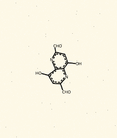 O=Cc1cc(O)c2nc(C=O)cc(O)c2n1